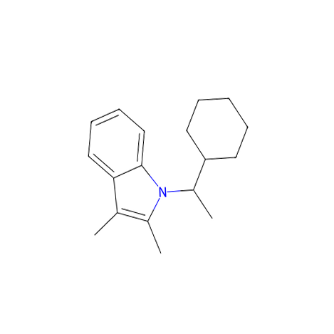 Cc1c(C)n(C(C)C2CCCCC2)c2ccccc12